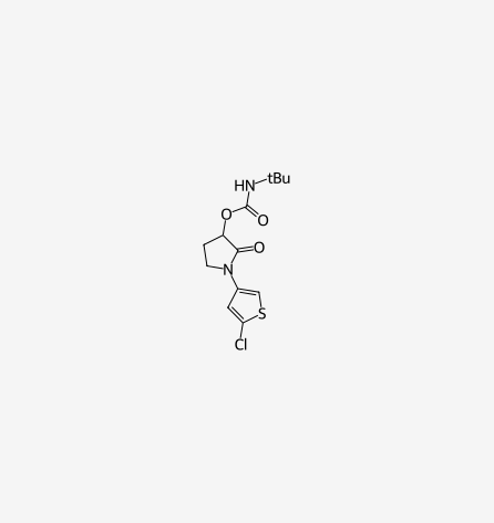 CC(C)(C)NC(=O)OC1CCN(c2csc(Cl)c2)C1=O